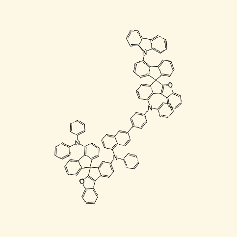 c1ccc(N(c2ccccc2)c2cccc3c2-c2ccccc2C32c3cc(N(c4ccccc4)c4cccc5cc(-c6ccc(N(c7ccccc7)c7cccc8c7-c7c(oc9ccccc79)C87c8ccccc8-c8c(-n9c%10ccccc%10c%10ccccc%109)cccc87)cc6)ccc45)ccc3-c3c2oc2ccccc32)cc1